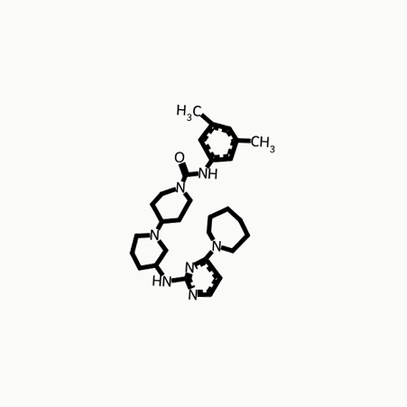 Cc1cc(C)cc(NC(=O)N2CCC(N3CCCC(Nc4nccc(N5CCCCCC5)n4)C3)CC2)c1